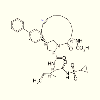 C=C[C@@H]1C[C@]1(NC(=O)[C@@H]1C[C@@]2(c3ccc(-c4ccccc4)cc3)CN1C(=O)[C@@H](NC(=O)O)CCCCC/C=C\CS2)C(=O)NS(=O)(=O)C1CC1